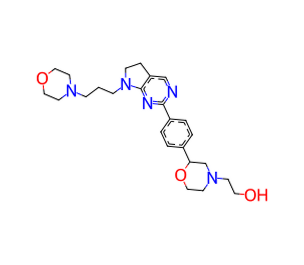 OCCN1CCOC(c2ccc(-c3ncc4c(n3)N(CCCN3CCOCC3)CC4)cc2)C1